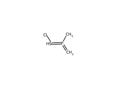 C=P(C)=[SiH]Cl